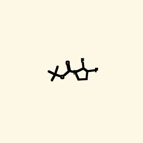 CC(C)(C)OC(=O)N1CCC(F)C1F